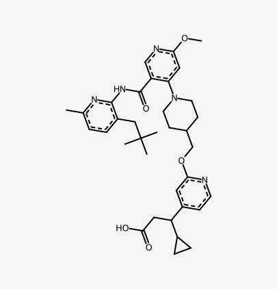 COc1cc(N2CCC(COc3cc(C(CC(=O)O)C4CC4)ccn3)CC2)c(C(=O)Nc2nc(C)ccc2CC(C)(C)C)cn1